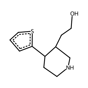 OCCC1CNCCC1c1cccs1